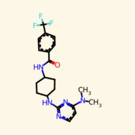 CN(C)c1ccnc(NC2CCC(NC(=O)c3ccc(C(F)(F)F)cc3)CC2)n1